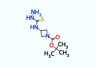 CC(C)(C)OC(=O)N1CC(NC(=S)NN)C1